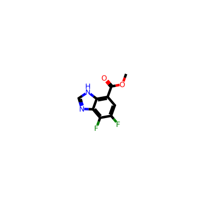 COC(=O)c1cc(F)c(F)c2nc[nH]c12